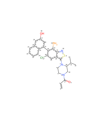 C=CC(=O)N1CCN(c2snc3c(P)c(-c4cc(O)cc5ccccc45)c(Cl)cc23)C(C(C)C)C1